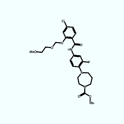 COCCOCOc1cc(Cl)ccc1C(=O)Nc1ccc(N2CCCN(C(=O)OC(C)(C)C)CC2)c(F)c1